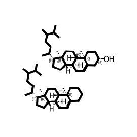 CC(C)C(C)CCC(C)[C@H]1CC[C@H]2[C@@H]3CC=C4CCCC[C@]4(C)[C@H]3CC[C@]12C.CC(C)C(C)CCC(C)[C@H]1CC[C@H]2[C@@H]3CC=C4C[C@@H](O)CC[C@]4(C)[C@H]3CC[C@]12C